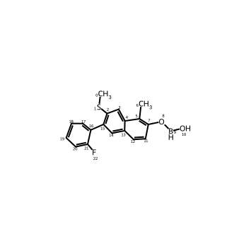 CSc1cc2c(C)c(OBO)ccc2cc1-c1ccccc1F